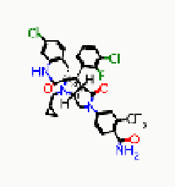 NC(=O)c1ccc(N2C[C@H]3[C@@H](C2=O)[C@H](c2cccc(Cl)c2F)[C@@]2(Cc4ccc(Cl)cc4NC2=O)N3CC2CC2)cc1C(F)(F)F